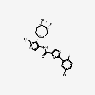 Cn1ncc(NC(=O)c2csc(-c3cc(Br)ccc3F)n2)c1[C@@H]1CC[C@@H](N)[C@H](F)CO1